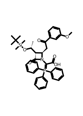 COc1cccc(C(=O)C[C@@H]2[C@@H]([C@@H](C)O[Si](C)(C)C(C)(C)C)C(=O)N2C(C(=O)O)=P(c2ccccc2)(c2ccccc2)c2ccccc2)c1